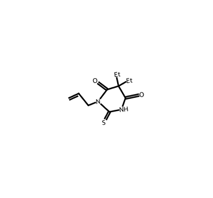 C=CCN1C(=O)C(CC)(CC)C(=O)NC1=S